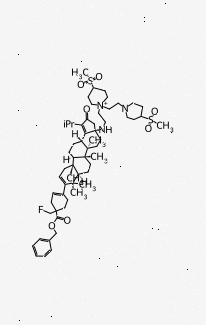 CC(C)C1=C2[C@H]3CC[C@@H]4[C@@]5(C)CC=C(C6=CCC(CF)(C(=O)OCc7ccccc7)CC6)C(C)(C)[C@@H]5CC[C@@]4(C)[C@]3(C)CC[C@@]2(NCC[N+]2(CCN3CCC(S(C)(=O)=O)CC3)CCC(S(C)(=O)=O)CC2)CC1=O